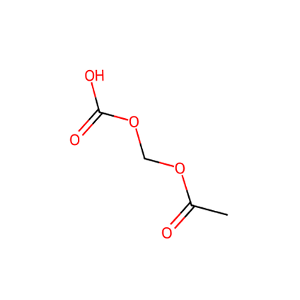 CC(=O)OCOC(=O)O